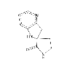 O=C1NCCC12Cc1ncccc1N2